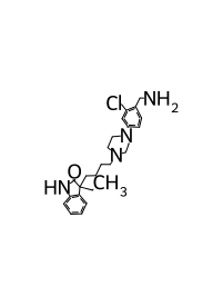 CCC1(CCCCN2CCN(c3ccc(CN)c(Cl)c3)CC2)C(=O)Nc2ccccc21